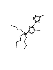 CCC[CH2][Sn]([CH2]CCC)([CH2]CCC)[c]1cc(C)c(-c2nnc(C)o2)s1